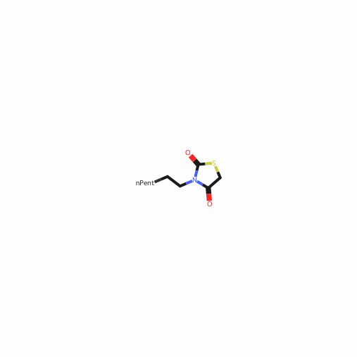 CCCCCCCN1C(=O)CSC1=O